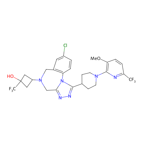 COc1ccc(C(F)(F)F)nc1N1CCC(c2nnc3n2-c2ccc(Cl)cc2CN(C2CC(O)(C(F)(F)F)C2)C3)CC1